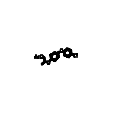 CC(=O)OCC(C)Oc1ccc(Oc2ccc(Cl)cc2)cc1